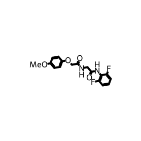 COc1ccc(OCC(=O)NCC(=O)Nc2c(F)cccc2F)cc1